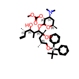 C=C[C@H](C)[C@@H](O)C(C)[C@@H](OC1O[C@H](C)C[C@H](N(C)C)[C@H]1OC(=O)OC)[C@](C)(O)C[C@@H](C)CO[Si](c1ccccc1)(c1ccccc1)C(C)(C)C